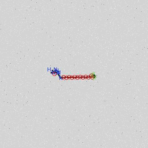 CCCN(CCC)C(=O)C1=Cc2c(cnn2CCCCCN(C)CCOCCOCCOCCOCCOCCOCCOCCOCCOCCOCCC(=O)Oc2c(F)c(F)cc(F)c2F)N=C(N)C1